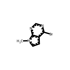 Cn1ccc2c(Br)ncnc21